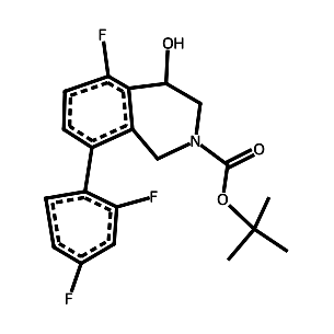 CC(C)(C)OC(=O)N1Cc2c(-c3ccc(F)cc3F)ccc(F)c2C(O)C1